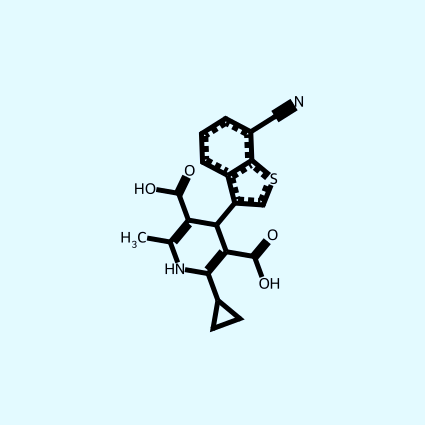 CC1=C(C(=O)O)C(c2csc3c(C#N)cccc23)C(C(=O)O)=C(C2CC2)N1